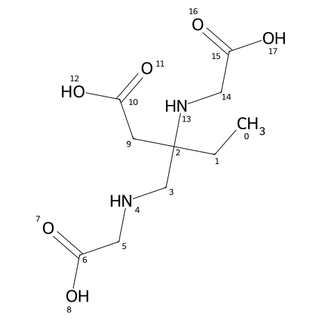 CCC(CNCC(=O)O)(CC(=O)O)NCC(=O)O